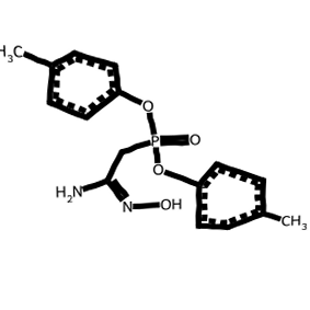 Cc1ccc(OP(=O)(CC(N)=NO)Oc2ccc(C)cc2)cc1